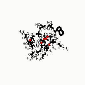 COC(=O)C(=O)OCC(C)(CO)C(=O)OCC(C)(COC(=O)C(C)(CO)CO)C(=O)OCC(COC(=O)C(C)(CO)COC(=O)C(C)(CO)COC(=O)c1cccc2ccccc12)(COC(=O)C(C)(COC(=O)C(C)(CO)COC(=O)C(=O)OC)COC(=O)C(C)(CO)COC(=O)C(=O)OC)COC(=O)C(C)(COC(=O)C(C)(CO)COC(=O)C(=O)OC)COC(=O)C(C)(CO)COC(=O)C(=O)OC